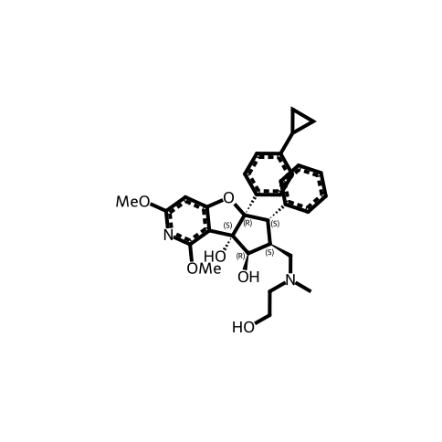 COc1cc2c(c(OC)n1)[C@]1(O)[C@H](O)[C@H](CN(C)CCO)[C@@H](c3ccccc3)[C@]1(c1ccc(C3CC3)cc1)O2